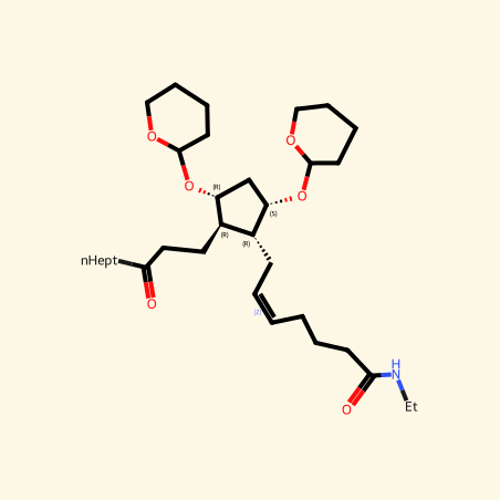 CCCCCCCC(=O)CC[C@@H]1[C@@H](C/C=C\CCCC(=O)NCC)[C@@H](OC2CCCCO2)C[C@H]1OC1CCCCO1